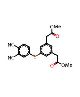 COC(=O)Cc1cc(CC(=O)OC)cc(Sc2ccc(C#N)c(C#N)c2)c1